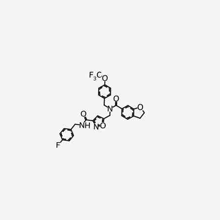 O=C(NCc1ccc(F)cc1)c1cc(CN(Cc2ccc(OC(F)(F)F)cc2)C(=O)c2ccc3c(c2)OCC3)on1